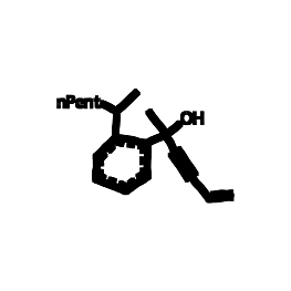 C=CC#CC(C)(O)c1ccccc1C(C)CCCCC